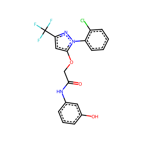 O=C(COc1cc(C(F)(F)F)nn1-c1ccccc1Cl)Nc1cccc(O)c1